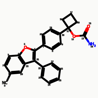 N#Cc1ccc2oc(-c3ccc(C4(OC(N)=O)CCC4)cc3)c(-c3ccccc3)c2c1